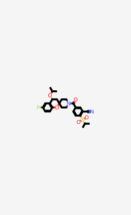 CC(C)O[C@@H]1CC2(CCN(C(=O)c3ccc(S(=O)(=O)C(C)C)c(C#N)c3)CC2)Oc2ccc(F)cc21